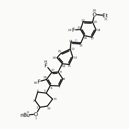 CCCCOC1CCC(c2ccc(-c3ccc(/C=C/c4ccc(OCC)cc4F)cc3)c(F)c2F)CC1